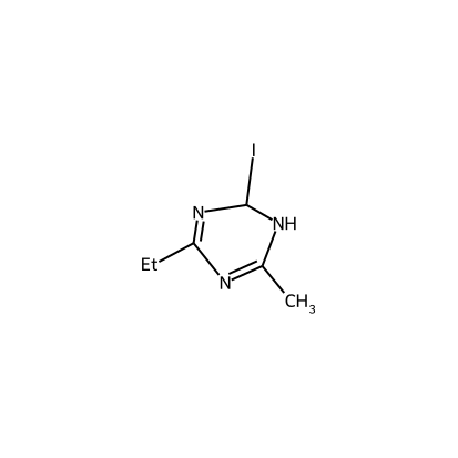 CCC1=NC(I)NC(C)=N1